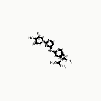 Cc1nc2cnc(Nc3ccnc(N4C[C@@H](F)C(O)[C@H](F)C4)n3)cc2n1C(C)C